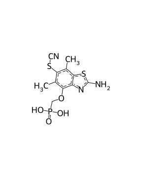 Cc1c(SC#N)c(C)c2sc(N)nc2c1OCP(=O)(O)O